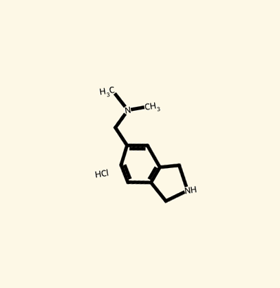 CN(C)Cc1ccc2c(c1)CNC2.Cl